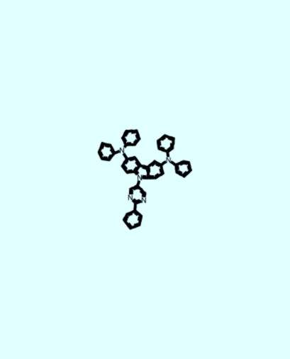 c1ccc(-c2ncc(-n3c4ccc(N(c5ccccc5)c5ccccc5)cc4c4cc(N(c5ccccc5)c5ccccc5)ccc43)cn2)cc1